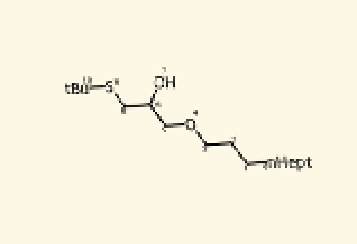 CCCCCCCCCCOCC(O)CSC(C)(C)C